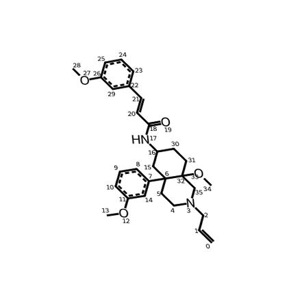 C=CCN1CCC2(c3cccc(OC)c3)CC(NC(=O)/C=C/c3cccc(OC)c3)CCC2(OC)C1